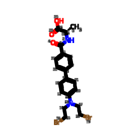 C[C@H](NC(=O)c1ccc(-c2ccc(N(CCBr)CCBr)cc2)cc1)C(=O)O